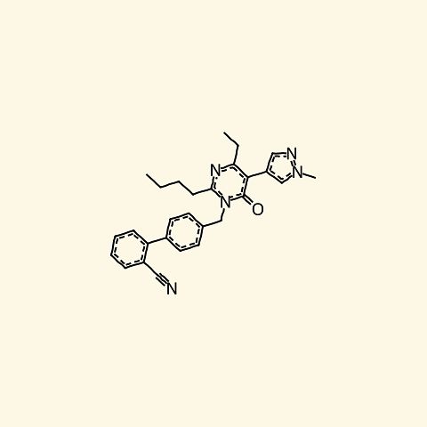 CCCCc1nc(CC)c(-c2cnn(C)c2)c(=O)n1Cc1ccc(-c2ccccc2C#N)cc1